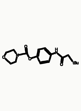 CC(C)(C)CC(=O)Nc1ccc(OC(=O)N2CCOCC2)cc1